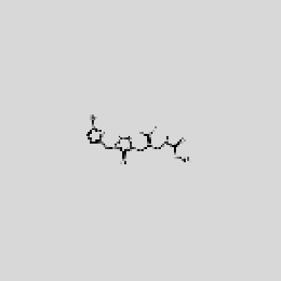 CC(C)(C)OC(=O)NCC(Cn1nnn(Cc2ccc(Br)s2)c1=O)=C(F)F